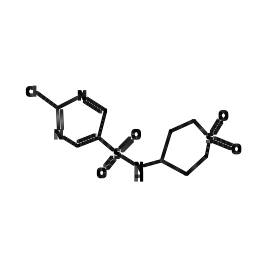 O=S1(=O)CCC(NS(=O)(=O)c2cnc(Cl)nc2)CC1